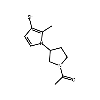 CC(=O)N1CCC(n2ccc(S)c2C)C1